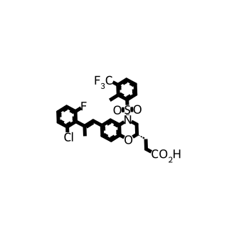 C/C(=C\c1ccc2c(c1)N(S(=O)(=O)c1cccc(C(F)(F)F)c1C)C[C@H](CCC(=O)O)O2)c1c(F)cccc1Cl